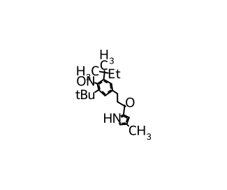 CCC(C)(C)c1cc(CCC(=O)c2cc(C)c[nH]2)cc(C(C)(C)C)c1N=O